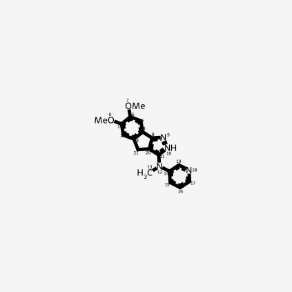 COc1cc2c(cc1OC)-c1n[nH]c(N(C)c3cccnc3)c1C2